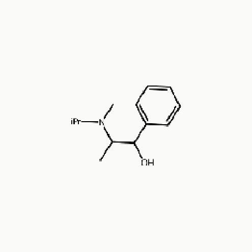 CC(C)N(C)C(C)C(O)c1ccccc1